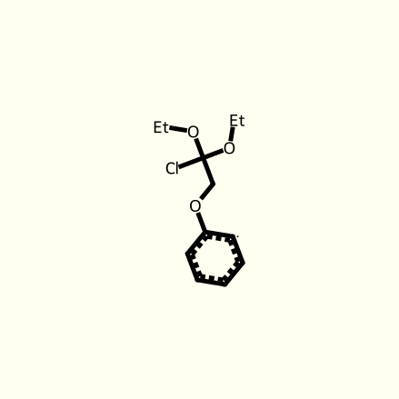 CCOC(Cl)(COc1[c]cccc1)OCC